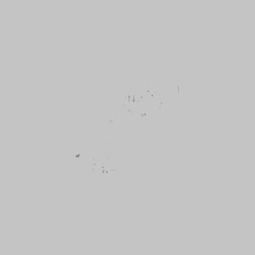 CC(=O)Nc1nc2ccc(-c3ccc4[nH]cc(C=O)c4c3)cc2s1